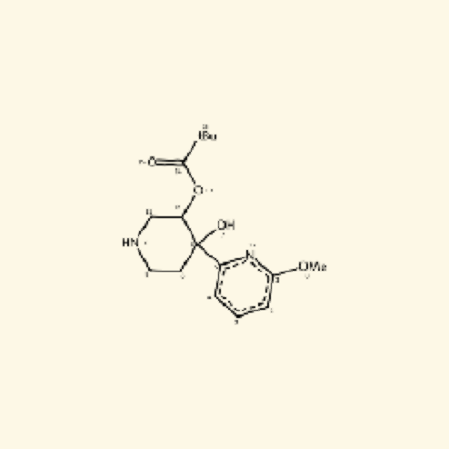 COc1cccc(C2(O)CCNCC2OC(=O)C(C)(C)C)n1